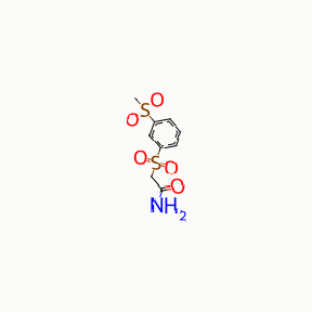 CS(=O)(=O)c1cccc(S(=O)(=O)CC(N)=O)c1